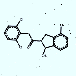 CC1c2cccc(C#N)c2CN1C(=O)Cc1c(Cl)cccc1Cl